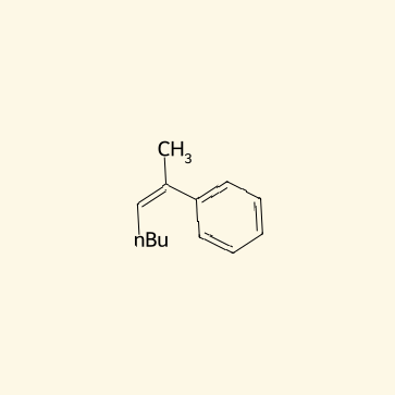 CCCC/C=C(/C)c1ccccc1